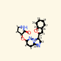 O=C1NCCC1Oc1ccc2ncc(-c3cc4ccccc4o3)n2n1